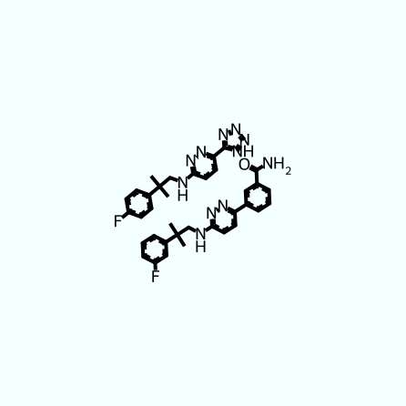 CC(C)(CNc1ccc(-c2cccc(C(N)=O)c2)nn1)c1cccc(F)c1.CC(C)(CNc1ccc(-c2nnn[nH]2)nn1)c1ccc(F)cc1